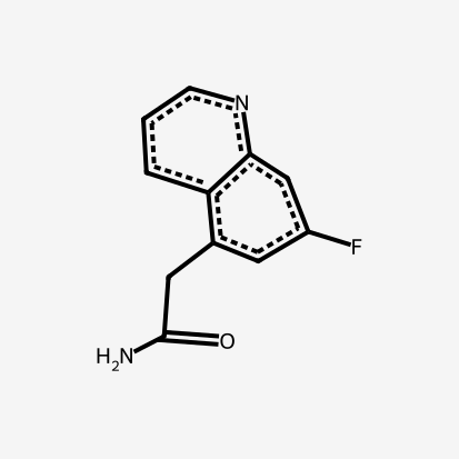 NC(=O)Cc1cc(F)cc2ncccc12